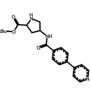 CC(C)(C)OC(=O)C1CC(NC(=O)c2ccc(-c3ccncc3)cc2)CN1